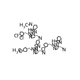 CC#N.COc1ccc(CCNC2=NC=CC(CC#N)N2c2nc3ccccc3s2)cc1.N#CCC1C=CN=C(NCCc2ccc(Cl)c(Cl)c2)N1c1nc2ccccc2s1.N#CCC1C=CN=C(NCCc2cccc(Cl)c2)N1c1nc2ccccc2s1